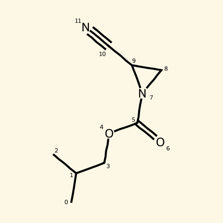 CC(C)COC(=O)N1CC1C#N